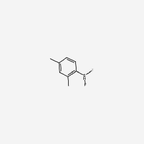 Cc1ccc([SiH](F)F)c(C)c1